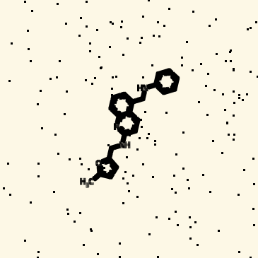 Cc1ccc(CNc2ccc3c(CNc4ccccc4)cccc3n2)o1